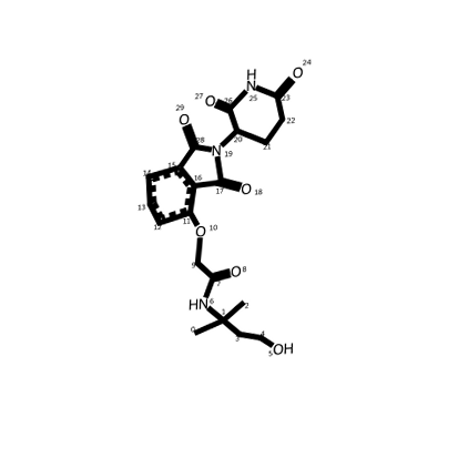 CC(C)(CCO)NC(=O)COc1cccc2c1C(=O)N(C1CCC(=O)NC1=O)C2=O